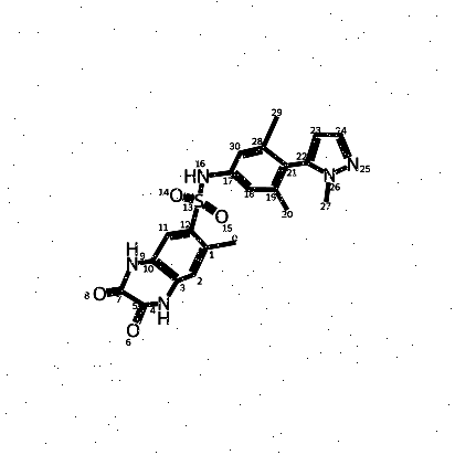 Cc1cc2[nH]c(=O)c(=O)[nH]c2cc1S(=O)(=O)Nc1cc(C)c(-c2ccnn2C)c(C)c1